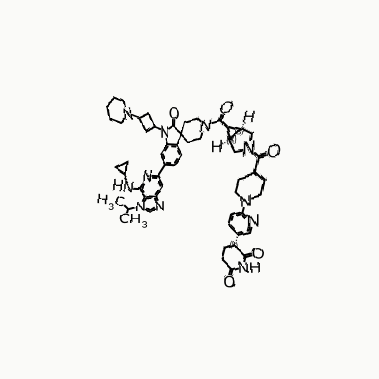 CC(C)n1cnc2cc(-c3ccc4c(c3)N(C3CC(N5CCCCC5)C3)C(=O)C43CCN(C(=O)C4[C@H]5CN(C(=O)C6CCN(c7ccc([C@H]8CCC(=O)NC8=O)cn7)CC6)C[C@@H]45)CC3)nc(NC3CC3)c21